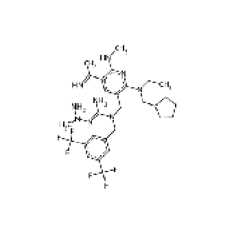 CCN(CC1CCCC1)c1nc(NC)c(C(C)=N)cc1CN(Cc1cc(C(F)(F)F)cc(C(F)(F)F)c1)/C(N)=N/N(C)N